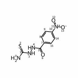 NC(=S)NNC(=O)c1ccc([N+](=O)[O-])cc1